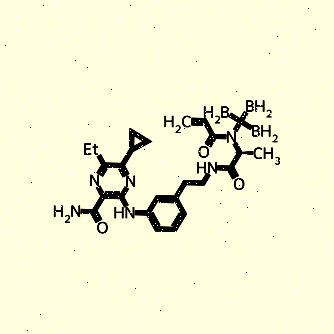 BC(B)(B)N(C(=O)C=C)[C@@H](C)C(=O)NCCc1cccc(Nc2nc(C3CC3)c(CC)nc2C(N)=O)c1